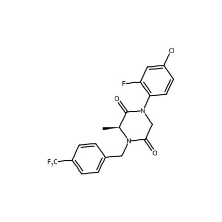 C[C@H]1C(=O)N(c2ccc(Cl)cc2F)CC(=O)N1Cc1ccc(C(F)(F)F)cc1